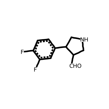 O=CC1CNCC1c1ccc(F)c(F)c1